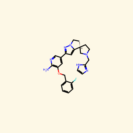 Nc1ncc(-c2cc3n(n2)CC[C@@]32CCN(Cc3ncc[nH]3)C2)cc1OCc1ccccc1F